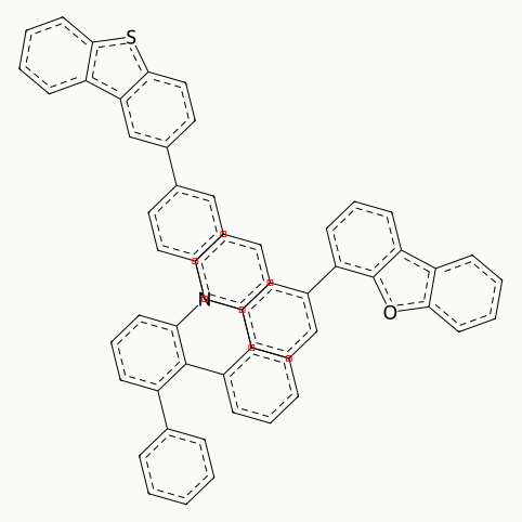 c1ccc(-c2ccccc2-c2c(-c3ccccc3)cccc2N(c2ccc(-c3ccc4sc5ccccc5c4c3)cc2)c2cccc(-c3cccc4c3oc3ccccc34)c2)cc1